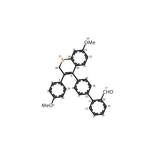 COc1ccc(C2=C(c3ccc(-c4ccccc4C=O)cc3)c3ccc(OC)cc3SC2)cc1